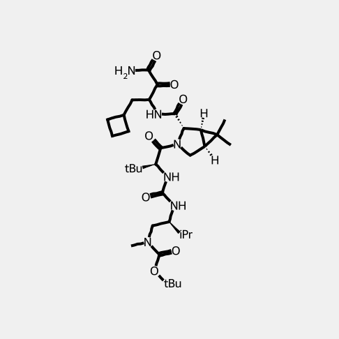 CC(C)[C@@H](CN(C)C(=O)OC(C)(C)C)NC(=O)N[C@H](C(=O)N1C[C@H]2[C@@H]([C@H]1C(=O)NC(CC1CCC1)C(=O)C(N)=O)C2(C)C)C(C)(C)C